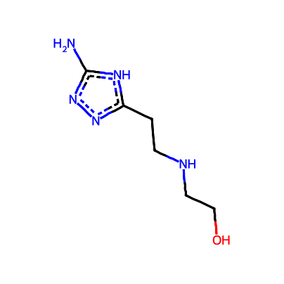 Nc1nnc(CCNCCO)[nH]1